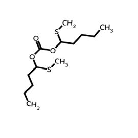 CCCCC(OC(=O)OC(CCCC)SC)SC